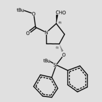 CC(C)(C)OC(=O)N1C[C@@H](O[Si](c2ccccc2)(c2ccccc2)C(C)(C)C)C[C@@H]1C=O